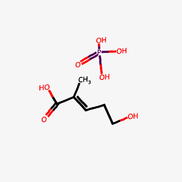 C/C(=C\CCO)C(=O)O.O=P(O)(O)O